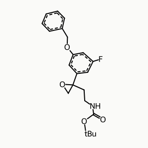 CC(C)(C)OC(=O)NCCC1(c2cc(F)cc(OCc3ccccc3)c2)CO1